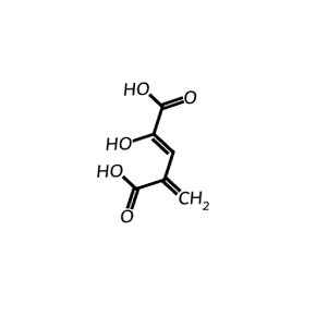 C=C(C=C(O)C(=O)O)C(=O)O